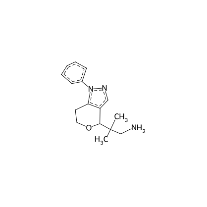 CC(C)(CN)C1OCCc2c1cnn2-c1ccccc1